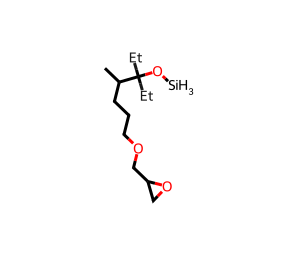 CCC(CC)(O[SiH3])C(C)CCCOCC1CO1